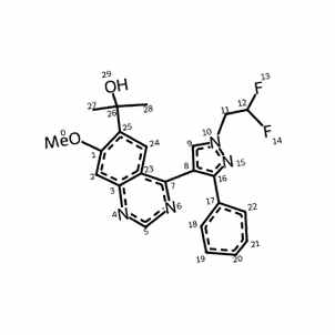 COc1cc2ncnc(-c3cn(CC(F)F)nc3-c3ccccc3)c2cc1C(C)(C)O